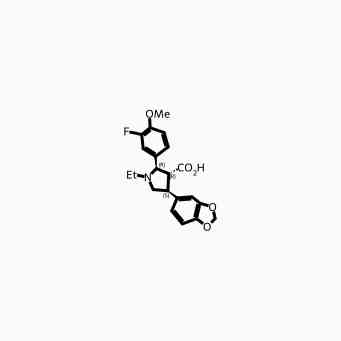 CCN1C[C@H](c2ccc3c(c2)OCO3)[C@@H](C(=O)O)[C@@H]1c1ccc(OC)c(F)c1